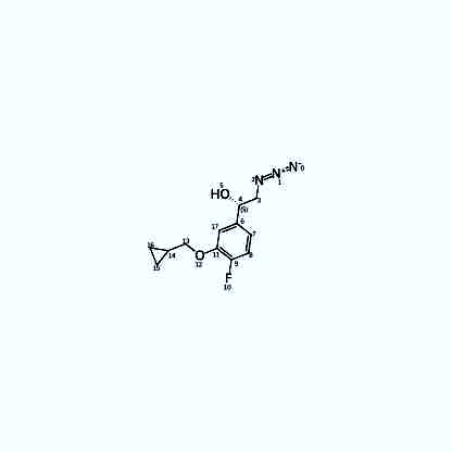 [N-]=[N+]=NC[C@@H](O)c1ccc(F)c(OCC2CC2)c1